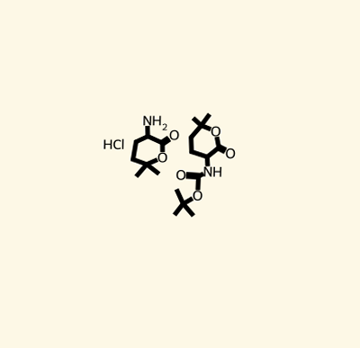 CC(C)(C)OC(=O)NC1CCC(C)(C)OC1=O.CC1(C)CCC(N)C(=O)O1.Cl